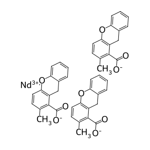 Cc1ccc2c(c1C(=O)[O-])Cc1ccccc1O2.Cc1ccc2c(c1C(=O)[O-])Cc1ccccc1O2.Cc1ccc2c(c1C(=O)[O-])Cc1ccccc1O2.[Nd+3]